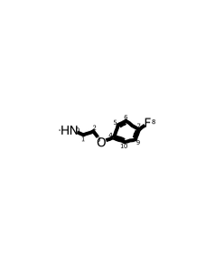 [NH]CCOc1ccc(F)cc1